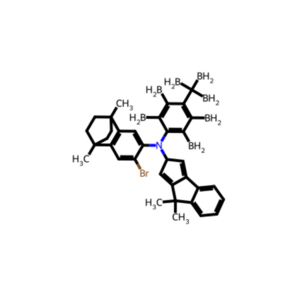 Bc1c(B)c(C(B)(B)B)c(B)c(B)c1N(c1cc2c(cc1Br)C1(C)CCC2(C)CC1)C1C=C2C(=C1)C(C)(C)c1ccccc12